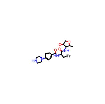 CC(C)CC(NC(=O)c1ccc(N2CCNCC2)cc1)C(=O)NC1C(=O)COC1C